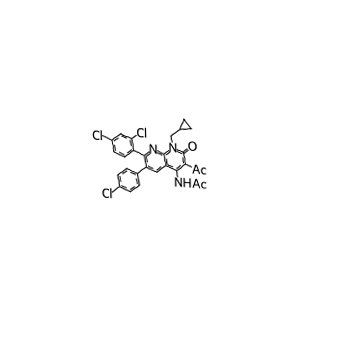 CC(=O)Nc1c(C(C)=O)c(=O)n(CC2CC2)c2nc(-c3ccc(Cl)cc3Cl)c(-c3ccc(Cl)cc3)cc12